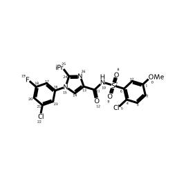 COc1ccc(Cl)c(S(=O)(=O)NC(=O)c2cn(-c3cc(F)cc(Cl)c3)c(C(C)C)n2)c1